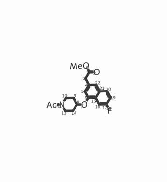 COC(=O)Cc1cc(OC2CCN(C(C)=O)CC2)c2cc(F)ccc2c1